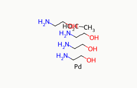 CC(=O)O.NCCO.NCCO.NCCO.NCCO.[Pd]